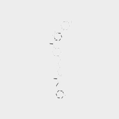 O=C(/C=C/c1cccnc1)NCCCCC1CCN(C(=O)c2ccc(N3CCNCC3)nn2)CC1